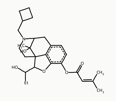 CCC(O)C1Oc2c(OC(=O)C=C(C)C)ccc3c2C12CCN(CC1CCC1)C(C3)C2(C)O